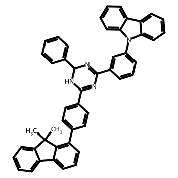 CC1(C)c2ccccc2-c2cccc(-c3ccc(C4=NC(c5cccc(-n6c7ccccc7c7ccccc76)c5)=NC(c5ccccc5)N4)cc3)c21